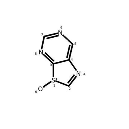 [O-][s+]1cnc2cncnc21